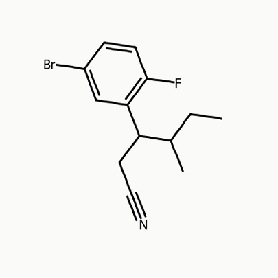 CCC(C)C(CC#N)c1cc(Br)ccc1F